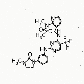 CN1CCN(c2cccc(Nc3ncc(C(F)(F)F)c(NCc4cccnc4N(C)S(C)(=O)=O)n3)c2)C1=O